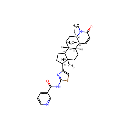 CN1C(=O)C=C[C@]2(C)[C@H]3CC[C@]4(C)[C@@H](c5csc(NC(=O)c6cccnc6)n5)CC[C@H]4[C@@H]3CC[C@@H]12